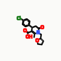 CC1=C(C(=O)O)C(c2ccc(Cl)cc2)CC(=O)N1CC1CCCO1